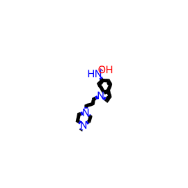 CN1CCN(CCCn2ccc3ccc(NO)cc32)CC1